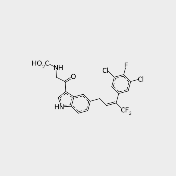 O=C(O)NCC(=O)c1c[nH]c2ccc(CC=C(c3cc(Cl)c(F)c(Cl)c3)C(F)(F)F)cc12